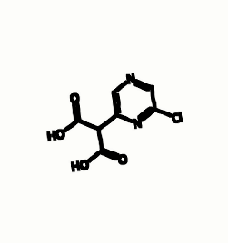 O=C(O)C(C(=O)O)c1cncc(Cl)n1